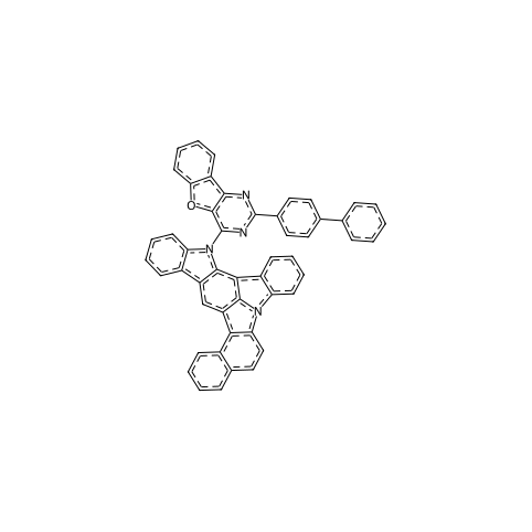 c1ccc(-c2ccc(-c3nc(-n4c5ccccc5c5cc6c7c8ccccc8ccc7n7c8ccccc8c(c54)c67)c4oc5ccccc5c4n3)cc2)cc1